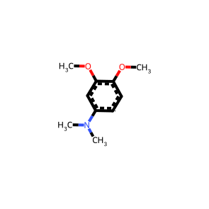 COc1c[c]c(N(C)C)cc1OC